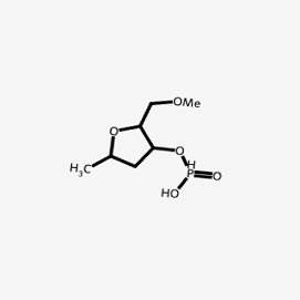 COCC1OC(C)CC1O[PH](=O)O